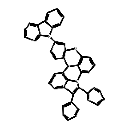 c1ccc(-c2c(-c3ccccc3)n3c4c(cccc24)B2c4ccc(-n5c6ccccc6c6ccccc65)cc4Oc4cccc-3c42)cc1